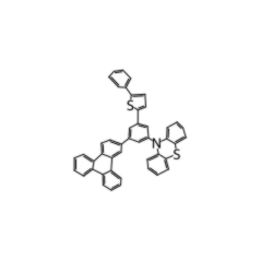 c1ccc(-c2ccc(-c3cc(-c4ccc5c6ccccc6c6ccccc6c5c4)cc(N4c5ccccc5Sc5ccccc54)c3)s2)cc1